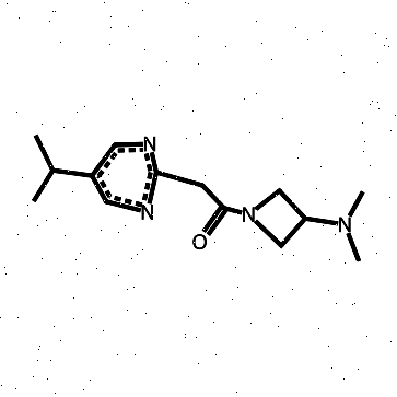 CC(C)c1cnc(CC(=O)N2CC(N(C)C)C2)nc1